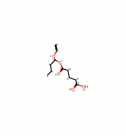 C=COC(CCC)OC(=O)CCCC(=O)O